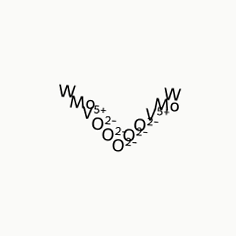 [Mo].[Mo].[O-2].[O-2].[O-2].[O-2].[O-2].[V+5].[V+5].[W].[W]